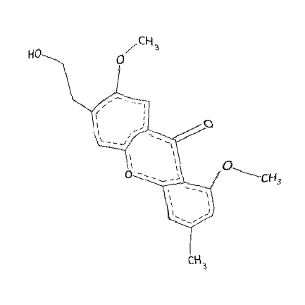 COc1cc2c(=O)c3c(OC)cc(C)cc3oc2cc1CCO